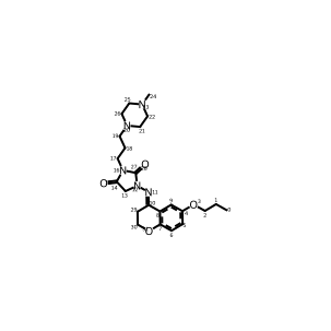 CCCOc1ccc2c(c1)/C(=N/N1CC(=O)N(CCCN3CCN(C)CC3)C1=O)CCO2